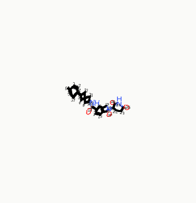 Cc1ccc(C2CC3(CC(NC(=O)c4ccc5c(c4)CN(C4CCC(=O)NC4=O)C5=O)C3)C2)cc1